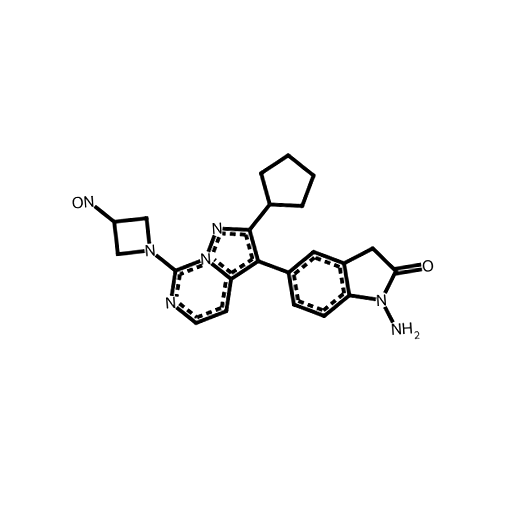 NN1C(=O)Cc2cc(-c3c(C4CCCC4)nn4c(N5CC(N=O)C5)nccc34)ccc21